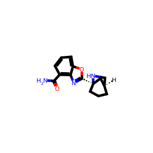 NC(=O)c1cccc2oc([C@]34CCC[C@H](CN3)C4)nc12